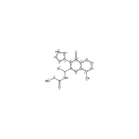 CCC(NC(=O)OC(C)(C)C)c1nc2c(C#N)cccc2c(=O)n1-c1cc[nH]n1